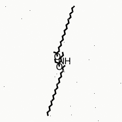 CCCCCCCCCCCCCCCCCC(C)OC(CC)NC(CC)OC(C)CCCCCCCCCCCCCCCCC